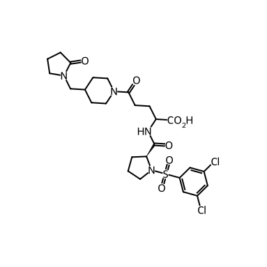 O=C(O)C(CCC(=O)N1CCC(CN2CCCC2=O)CC1)NC(=O)[C@@H]1CCCN1S(=O)(=O)c1cc(Cl)cc(Cl)c1